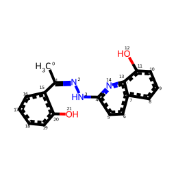 C/C(=N/Nc1ccc2cccc(O)c2n1)c1ccccc1O